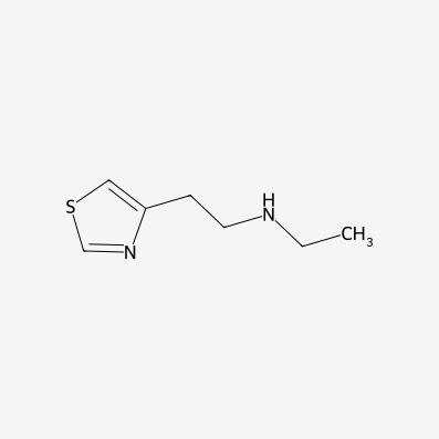 CCNCCc1cscn1